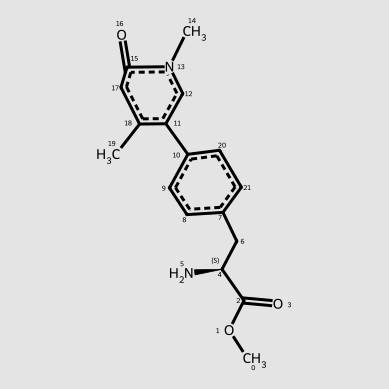 COC(=O)[C@@H](N)Cc1ccc(-c2cn(C)c(=O)cc2C)cc1